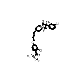 CN(C)C(=O)c1ccc(OCCCCC2CCN(C(=O)[C@@](O)(c3cccc(Cl)c3)C(F)(F)F)CC2)cc1Cl